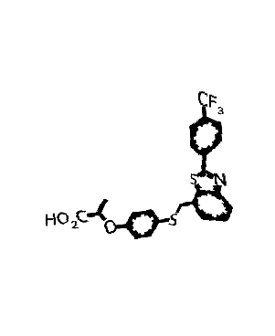 CC(Oc1ccc(SCc2cccc3nc(-c4ccc(C(F)(F)F)cc4)sc23)cc1)C(=O)O